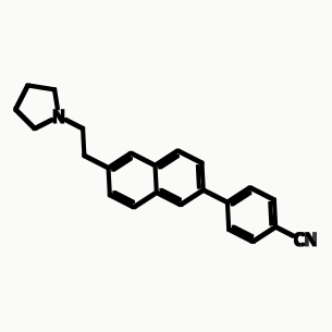 N#Cc1ccc(-c2ccc3cc(CCN4CCCC4)ccc3c2)cc1